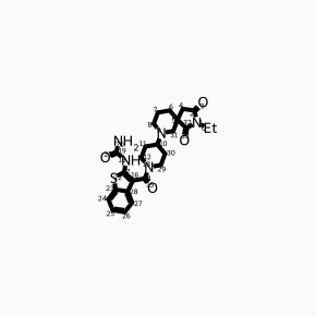 CCN1C(=O)CC2(CCCN(C3CCN(C(=O)c4c(NC(N)=O)sc5ccccc45)CC3)C2)C1=O